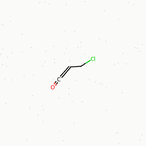 O=C=CCCl